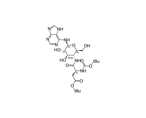 CC(C)(C)OC(=O)C[C@H](NC(=O)OC(C)(C)C)C(=O)N[C@@H]1[C@@H](O)[C@H](O)[C@@H](Nc2ncnc3nc[nH]c23)O[C@H]1CO